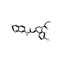 CC(C)(C)CC(=O)N1CC/C(=C\C(=O)Nc2ccc3cccnc3c2)c2ccc(C(F)(F)F)cc21